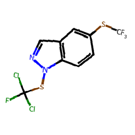 FC(F)(F)Sc1ccc2c(cnn2SC(F)(Cl)Cl)c1